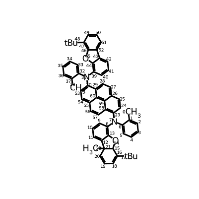 Cc1ccccc1N(c1cccc2c1OC1C(C(C)(C)C)=CC=CC21C)c1ccc2ccc3c(N(c4ccccc4C)c4cccc5c4oc4c(C(C)(C)C)cccc45)ccc4ccc1c2c43